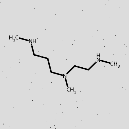 CNCCCN(C)CCNC